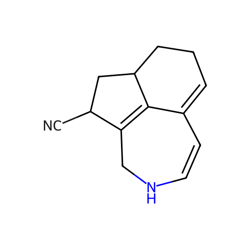 N#CC1CC2CCC=C3C=CNCC1=C32